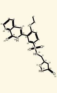 CCOc1ccc(S(=O)(=O)NCC2CC(=O)NO2)cc1-c1nc2cccnc2c(=O)[nH]1